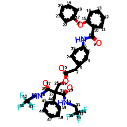 O=C(Cc1ccc(NC(=O)c2ccccc2Oc2ccccc2)cc1)OCC(C(=O)NCC(F)(F)F)(C(=O)NCC(F)(F)F)c1ccccc1